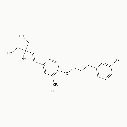 Cl.NC(/C=C/c1ccc(OCCCc2cccc(Br)c2)c(C(F)(F)F)c1)(CO)CO